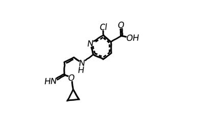 N=C(/C=C\Nc1ccc(C(=O)O)c(Cl)n1)OC1CC1